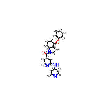 Cc1cc(Nc2cc(C(=O)N3CCc4c(Oc5ccccc5)cccc43)ccn2)ccn1